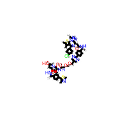 Cc1ncsc1-c1ccc([C@H](C)NC(=O)C2C[C@@H](O)CN2C(=O)[C@@H](NC(=O)COCOCc2cnc(-c3ccc([C@H](C)NC(=O)C[C@@H]4N=C(c5ccc(Cl)cc5)c5c(sc(C)c5C)-n5c(C)nnc54)cc3)nc2)C(C)(C)C)cc1